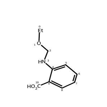 CCOCNc1ccccc1C(=O)O